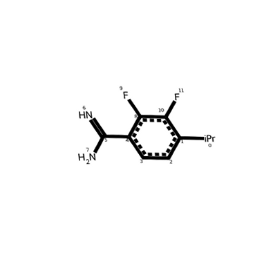 CC(C)c1ccc(C(=N)N)c(F)c1F